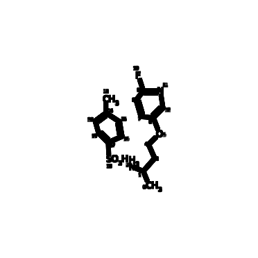 CC(N)CCOc1ccc(F)nc1.Cc1ccc(S(=O)(=O)O)cc1